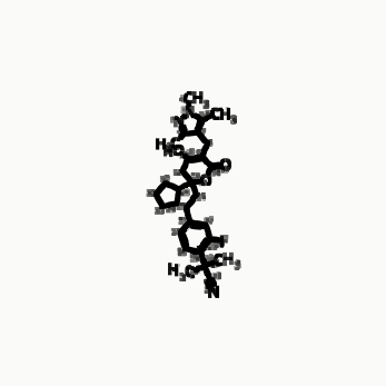 Cc1nn(C)c(C)c1CC1=C(O)CC(CCc2ccc(C(C)(C)C#N)c(F)c2)(C2CCCC2)OC1=O